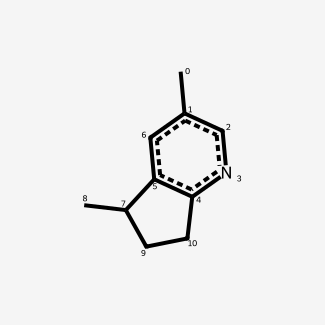 Cc1cnc2c(c1)C(C)CC2